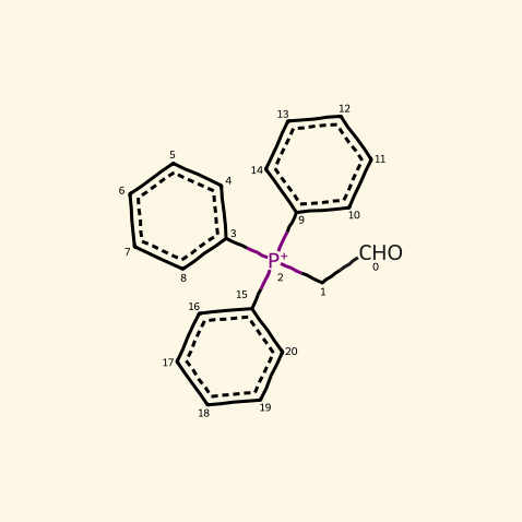 O=CC[P+](c1ccccc1)(c1ccccc1)c1ccccc1